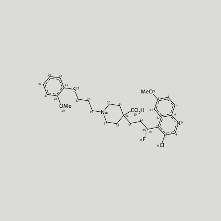 COc1ccc2ncc(Cl)c([C@H](F)CCC3(C(=O)O)CCN(CCCSc4ccccc4OC)CC3)c2c1